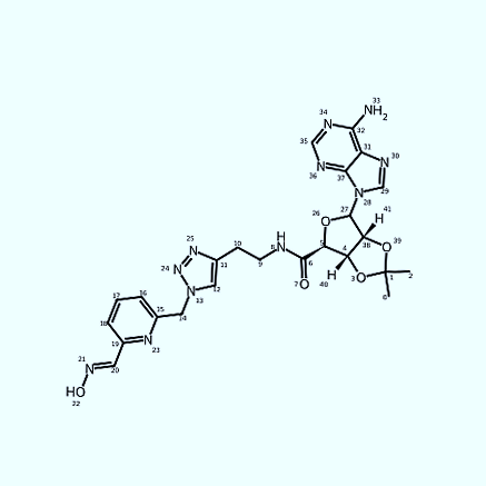 CC1(C)O[C@@H]2[C@@H](C(=O)NCCc3cn(Cc4cccc(/C=N/O)n4)nn3)OC(n3cnc4c(N)ncnc43)[C@@H]2O1